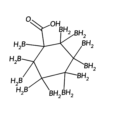 BC1(B)C(B)(B)C(B)(B)C(B)(C(=O)O)C(B)(B)C1(B)B